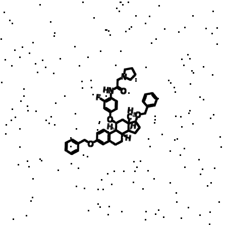 C[C@]12C[C@H](Oc3ccc(NC(=O)CN4CCCC4)c(F)c3)[C@@H]3c4ccc(OCc5ccccc5)cc4CC[C@H]3[C@@H]1CC[C@@H]2OCc1ccccc1